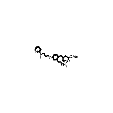 COC(=O)CC1Cc2ccc(OCCCNc3ccccn3)cc2CN(C)C1=O